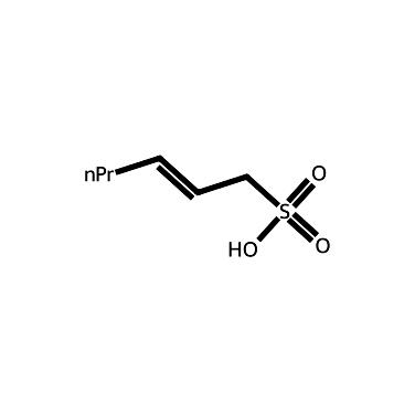 CCCC=CCS(=O)(=O)O